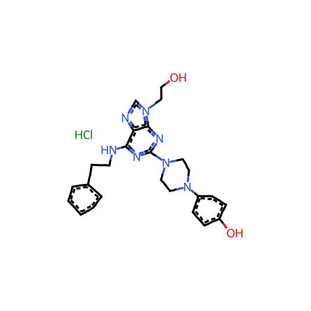 Cl.OCCn1cnc2c(NCCc3ccccc3)nc(N3CCN(c4ccc(O)cc4)CC3)nc21